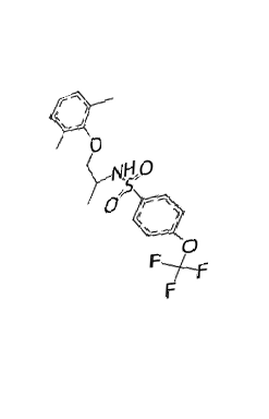 Cc1cccc(C)c1OCC(C)NS(=O)(=O)c1ccc(OC(F)(F)F)cc1